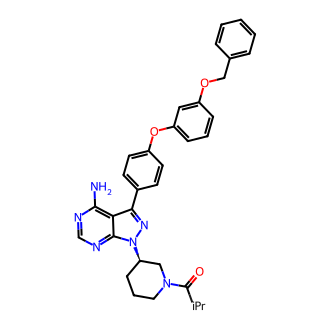 CC(C)C(=O)N1CCC[C@@H](n2nc(-c3ccc(Oc4cccc(OCc5ccccc5)c4)cc3)c3c(N)ncnc32)C1